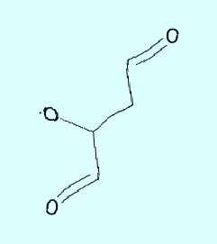 [O]C(C=O)CC=O